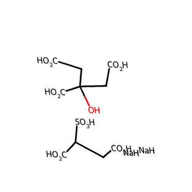 O=C(O)CC(C(=O)O)S(=O)(=O)O.O=C(O)CC(O)(CC(=O)O)C(=O)O.[NaH].[NaH]